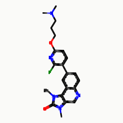 CC(C)n1c(=O)n(C)c2cnc3ccc(-c4ccc(OCCCN(C)C)nc4F)cc3c21